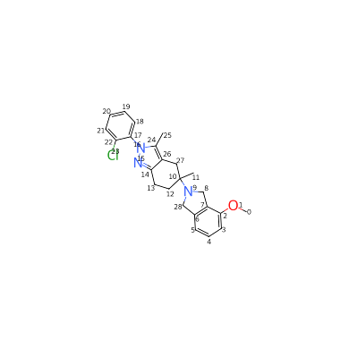 COc1cccc2c1CN(C1(C)CCc3nn(-c4ccccc4Cl)c(C)c3C1)C2